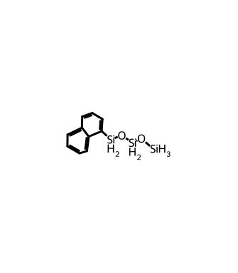 [SiH3]O[SiH2]O[SiH2]c1cccc2ccccc12